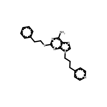 Nc1nc(SCCc2ccccc2)nc2c1ncn2CCCc1ccncc1